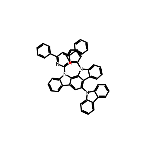 c1ccc(-c2cc(-c3ccccc3)nc(-n3c4ccccc4c4cc(-n5c6ccccc6c6ccccc65)c5c6ccccc6n(-c6ccccc6)c5c43)n2)cc1